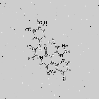 CC[C@@H](C(=O)Nc1ccc(C(=O)O)c(Cl)c1)n1cc(OC)c(-c2cc(Cl)ccc2-n2cc(C(F)(F)F)nn2)cc1=O